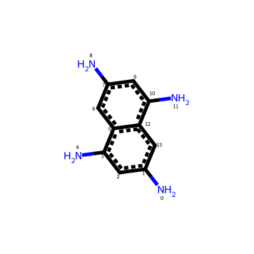 Nc1cc(N)c2cc(N)cc(N)c2c1